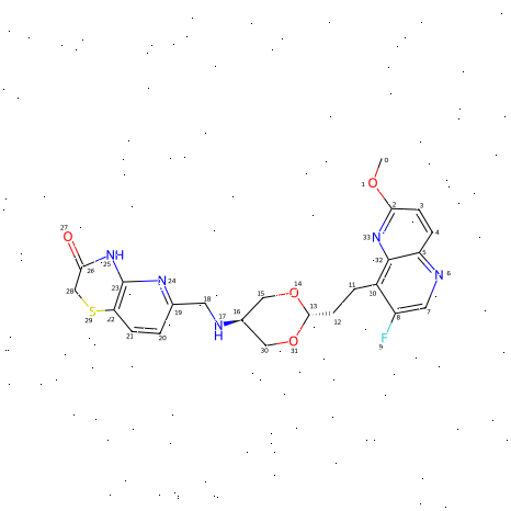 COc1ccc2ncc(F)c(CC[C@H]3OC[C@H](NCc4ccc5c(n4)NC(=O)CS5)CO3)c2n1